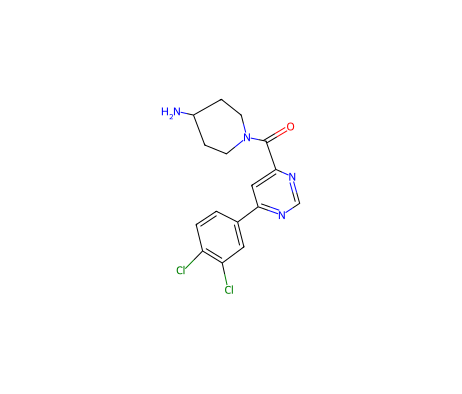 NC1CCN(C(=O)c2cc(-c3ccc(Cl)c(Cl)c3)ncn2)CC1